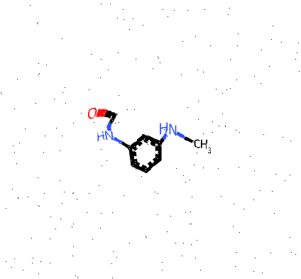 CNc1cccc(NC=O)c1